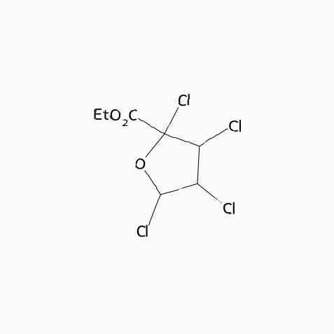 CCOC(=O)C1(Cl)OC(Cl)C(Cl)C1Cl